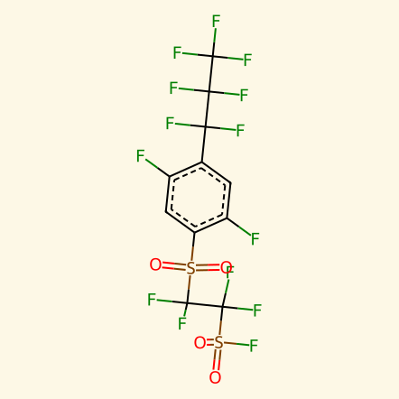 O=S(=O)(F)C(F)(F)C(F)(F)S(=O)(=O)c1cc(F)c(C(F)(F)C(F)(F)C(F)(F)F)cc1F